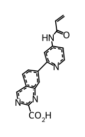 C=CC(=O)Nc1ccnc(-c2ccc3cnc(C(=O)O)nc3c2)c1